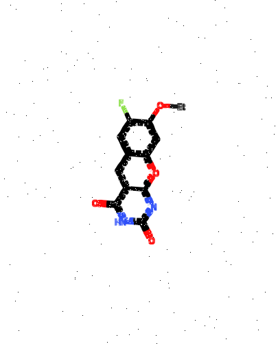 CCOc1cc2oc3nc(=O)[nH]c(=O)c-3cc2cc1F